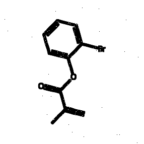 C=C(C)C(=O)Oc1ccccc1Br